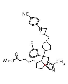 COC(=O)CCCC[C@H]1CCC[C@@H]1C(Cn1ccnc1C)(c1cccc(F)c1)C1CCN(CC2CN(c3ccc(C#N)cc3)C2)CC1